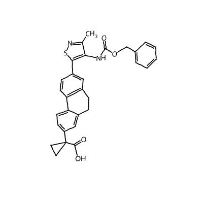 Cc1nsc(-c2ccc3c(c2)CCc2cc(C4(C(=O)O)CC4)ccc2-3)c1NC(=O)OCc1ccccc1